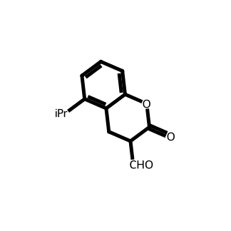 CC(C)c1cccc2c1CC(C=O)C(=O)O2